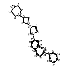 C1=CN(C2CC(N3CCOCC3)C2)CN1c1ccc2ccc(-c3ccccc3)nc2c1